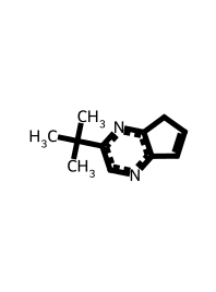 CC(C)(C)c1cnc2c(n1)CC=C2